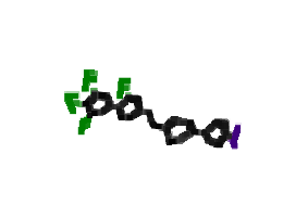 Fc1cc(CCc2ccc(-c3ccc(I)cc3)cc2)ccc1-c1cc(F)c(F)c(F)c1